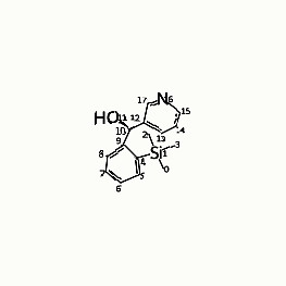 C[Si](C)(C)c1ccccc1[C@@H](O)c1cccnc1